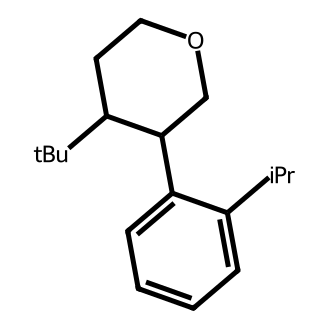 CC(C)c1ccccc1C1COCCC1C(C)(C)C